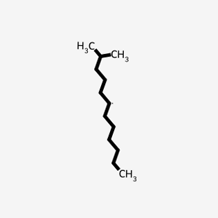 CCCCCC[CH]CCCC(C)C